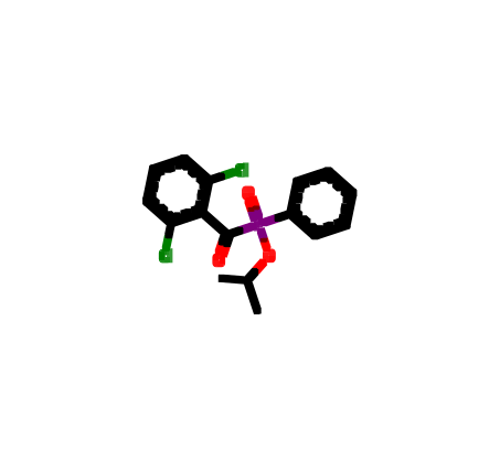 CC(C)OP(=O)(C(=O)c1c(Cl)cccc1Cl)c1ccccc1